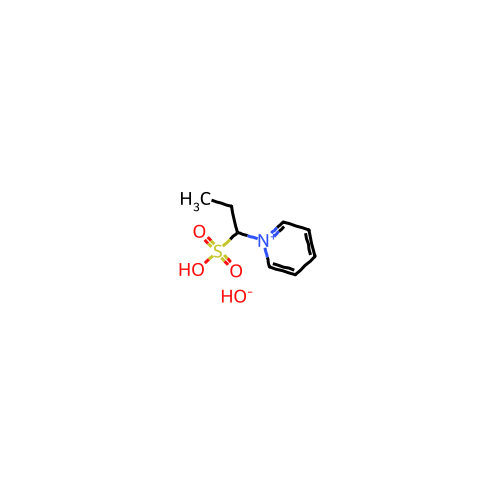 CCC([n+]1ccccc1)S(=O)(=O)O.[OH-]